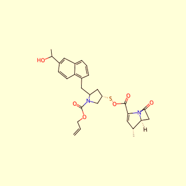 C=CCOC(=O)N1C[C@@H](SOC(=O)C2=C[C@@H](C)[C@@H]3CC(=O)N23)CC1Cc1cccc2cc(C(C)O)ccc12